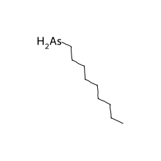 CCCCCCCCC[AsH2]